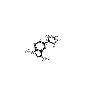 CC(C)n1cc(C=O)c2cc(-c3nnn[nH]3)ccc21